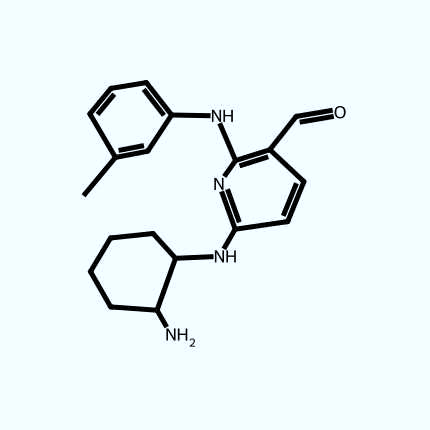 Cc1cccc(Nc2nc(NC3CCCCC3N)ccc2C=O)c1